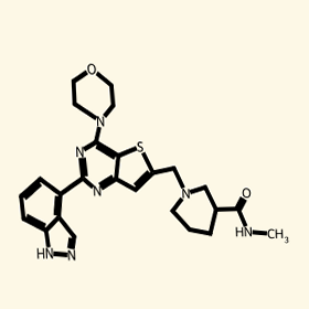 CNC(=O)C1CCCN(Cc2cc3nc(-c4cccc5[nH]ncc45)nc(N4CCOCC4)c3s2)C1